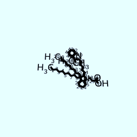 CCCCCCCCCCC1(CCCCCCCCCC)C2=CCCC=C2N(CCC(=O)O)/C1=C/C=C/C=C/C1=Nc2ccccc2C1(C)C